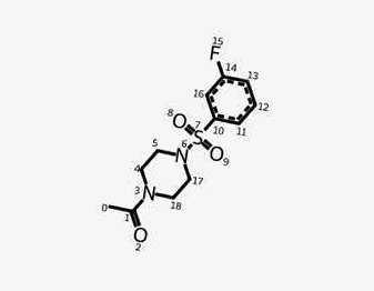 CC(=O)N1CCN(S(=O)(=O)c2cccc(F)c2)CC1